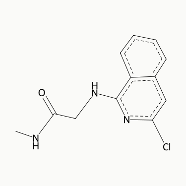 CNC(=O)CNc1nc(Cl)cc2ccccc12